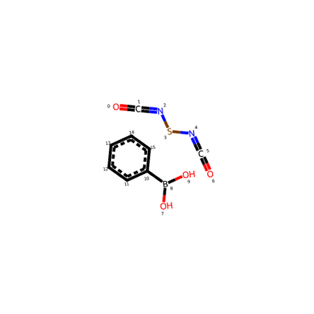 O=C=NSN=C=O.OB(O)c1ccccc1